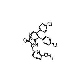 Cc1cccc(Cn2nc3c(-c4ccc(Cl)cc4)c(-c4ccc(Cl)cc4)cnn3c2=O)n1